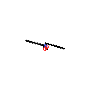 CCCCCCCCCCCCCC(C)N(OC(C)=O)C(C)CCCCCCCCCCCCC